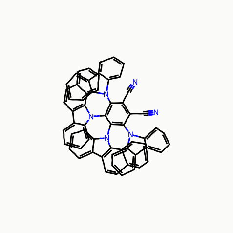 N#Cc1c(C#N)c(-n2c3ccccc3c3ccccc32)c(-n2c3ccccc3c3ccc4ccccc4c32)c(-n2c3ccccc3c3ccc4ccccc4c32)c1-n1c2ccccc2c2ccccc21